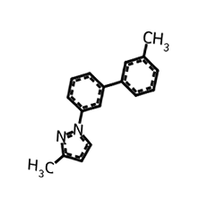 Cc1cccc(-c2cccc(-n3ccc(C)n3)c2)c1